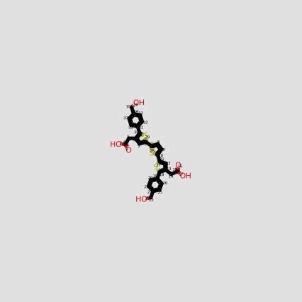 O=C(O)Cc1cc(-c2ccc(-c3cc(CC(=O)O)c(-c4ccc(CO)cc4)s3)s2)sc1-c1ccc(CO)cc1